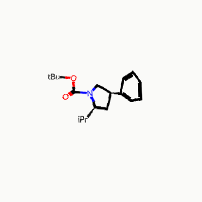 CC(C)[C@@H]1C[C@H](c2ccccc2)CN1C(=O)OC(C)(C)C